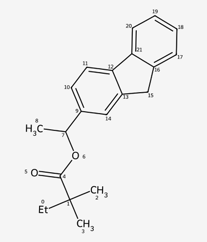 CCC(C)(C)C(=O)OC(C)c1ccc2c(c1)Cc1ccccc1-2